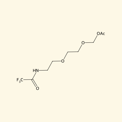 CC(=O)OCOCCOCCNC(=O)C(F)(F)F